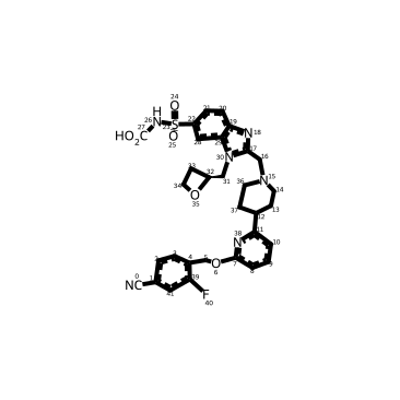 N#Cc1ccc(COc2cccc(C3CCN(Cc4nc5ccc(S(=O)(=O)NC(=O)O)cc5n4C[C@@H]4CCO4)CC3)n2)c(F)c1